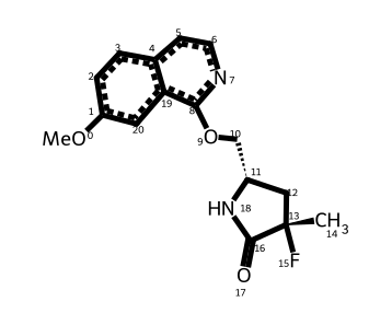 COc1ccc2ccnc(OC[C@@H]3C[C@](C)(F)C(=O)N3)c2c1